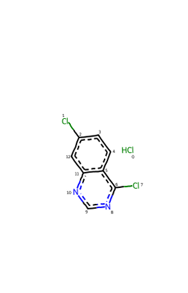 Cl.Clc1ccc2c(Cl)ncnc2c1